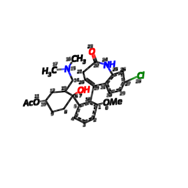 COc1cccc(C2(O)CCC(OC(C)=O)CC2CN(C)C)c1C1=CCC(=O)Nc2cc(Cl)ccc21